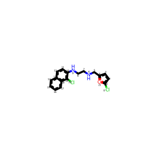 Clc1ccc(CNCCNc2ccc3ccccc3c2Cl)o1